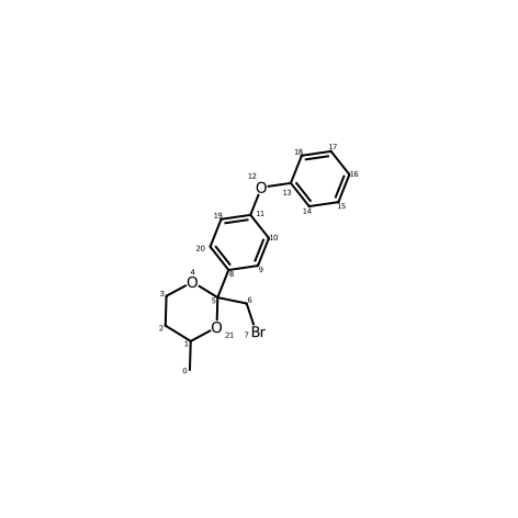 CC1CCOC(CBr)(c2ccc(Oc3ccccc3)cc2)O1